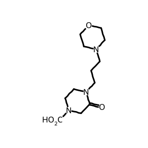 O=C(O)N1CCN(CCCN2CCOCC2)C(=O)C1